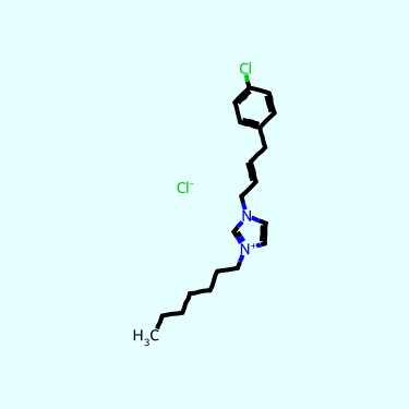 CCCCCCC[n+]1ccn(CC=CCc2ccc(Cl)cc2)c1.[Cl-]